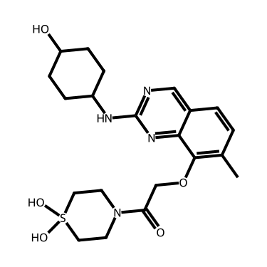 Cc1ccc2cnc(NC3CCC(O)CC3)nc2c1OCC(=O)N1CCS(O)(O)CC1